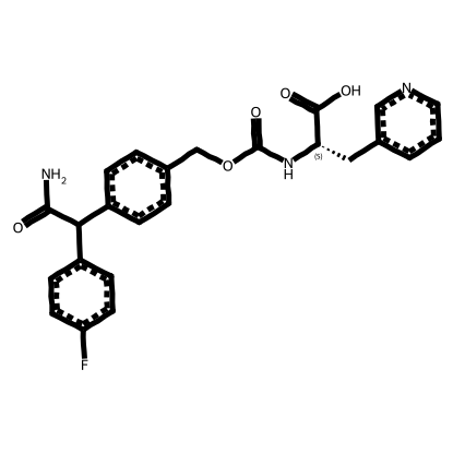 NC(=O)C(c1ccc(F)cc1)c1ccc(COC(=O)N[C@@H](Cc2cccnc2)C(=O)O)cc1